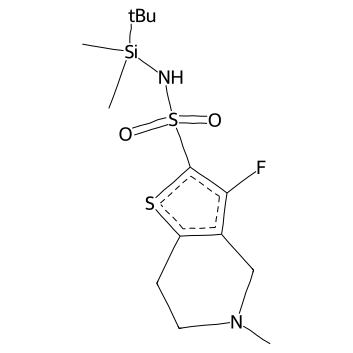 CN1CCc2sc(S(=O)(=O)N[Si](C)(C)C(C)(C)C)c(F)c2C1